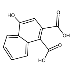 O=C(O)c1cc(O)c2ccccc2c1C(=O)O